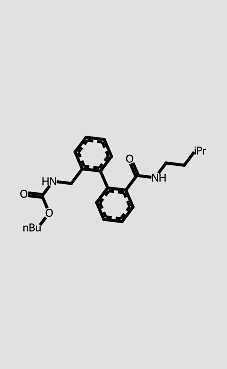 CCCCOC(=O)NCc1ccccc1-c1ccccc1C(=O)NCCC(C)C